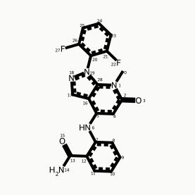 Cn1c(=O)cc(Nc2ccccc2C(N)=O)c2cnn(-c3c(F)cccc3F)c21